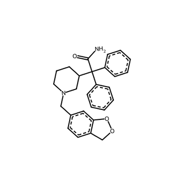 NC(=O)C(c1ccccc1)(c1ccccc1)C1CCCN(Cc2ccc3c(c2)OOC3)C1